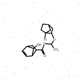 CCC12CCC(CC1OC(C)OC(=O)C1CC3C=CC1C3O)C2